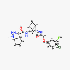 CN1NC(C(=O)NC2CC(NC(=O)COc3ccc(Cl)c(F)c3)C3CC2C3)C2CCCC21